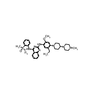 CCc1cc(Nc2nc(Nc3ccccc3P(C)(C)=O)c3ccccc3n2)c(OC)cc1N1CCC(N2CCN(C)CC2)CC1